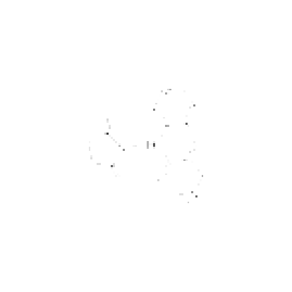 NCc1cc2ccccc2oc1=O.O=C1CCC(=O)N1O